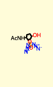 CC(=O)Nc1ccc(O)cc1.[N-]=[N+]=NS(=O)(=O)N=[N+]=[N-]